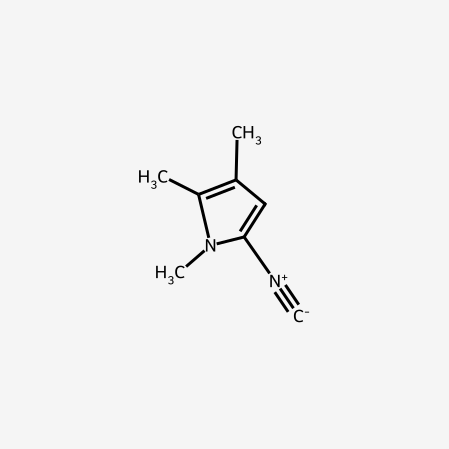 [C-]#[N+]c1cc(C)c(C)n1C